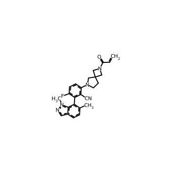 C=CC(=O)N1CC2(CCN(c3ccc(F)c(-c4c(C)ccc5cnn(C)c45)c3C#N)C2)C1